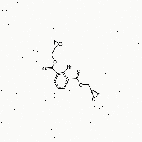 O=C(OCC1CO1)c1cccc(C(=O)OCC2CO2)c1Br